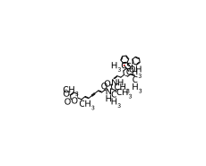 C/C=C\C[C@@H](C/C=C\NC(=O)[C@@H](NC(=O)/C=C/C#C/C=C/[C@H](C)[C@@H]1CC=C(OC)C(=O)O1)C(C)(C)C)CC(C)(C)[Si](O)(c1ccccc1)c1ccccc1